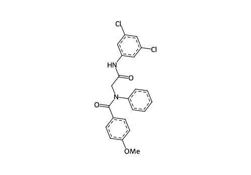 COc1ccc(C(=O)N(CC(=O)Nc2cc(Cl)cc(Cl)c2)c2ccccc2)cc1